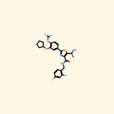 C[C@H](N)c1oc(-c2ccc(OC(F)F)c(OC3CCCC3)c2)nc1C(=O)NCc1ccc(F)cc1F